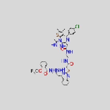 CC(=N)N1C(=N)[C@H](CC(=O)NCCNC(=O)CSC2=Nc3ccccc3/C(=C/C(=N)CNC(=O)c3ccccc3OC(F)(F)F)N2)N=C(c2ccc(Cl)cc2)c2c1sc(C)c2C